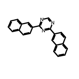 c1ccc2cc(-c3ncnc(-c4ccc5ccccc5c4)n3)ccc2c1